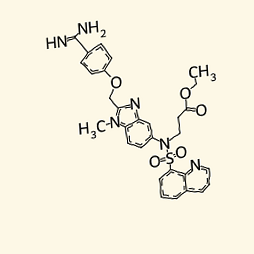 CCOC(=O)CCN(c1ccc2c(c1)nc(COc1ccc(C(=N)N)cc1)n2C)S(=O)(=O)c1cccc2cccnc12